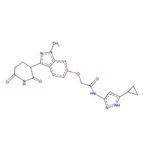 Cn1nc(C2CCC(=O)NC2=O)c2ccc(OCC(=O)Nc3cc(C4CC4)[nH]n3)cc21